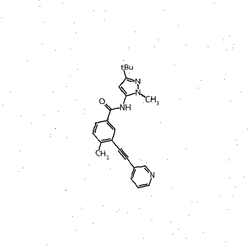 Cc1ccc(C(=O)Nc2cc(C(C)(C)C)nn2C)cc1C#Cc1cccnc1